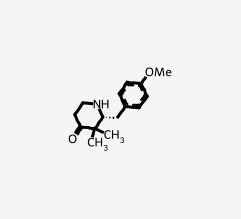 COc1ccc(C[C@H]2NCCC(=O)C2(C)C)cc1